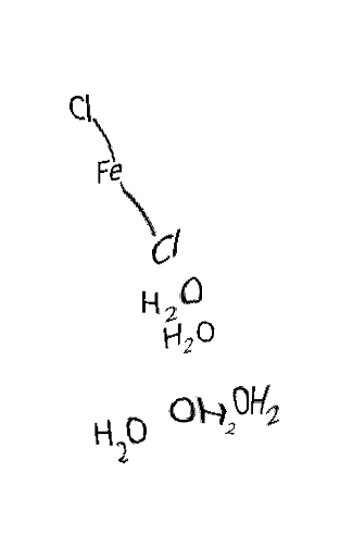 O.O.O.O.O.[Cl][Fe][Cl]